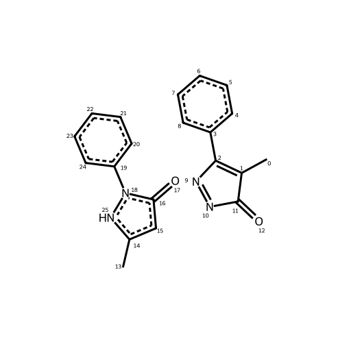 CC1=C(c2ccccc2)N=NC1=O.Cc1cc(=O)n(-c2ccccc2)[nH]1